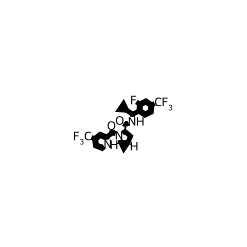 O=C(NC(c1ccc(C(F)(F)F)cc1F)C1CC1)[C@H]1C[C@H]2C[C@H]2N1C(=O)c1cc(C(F)(F)F)ccn1